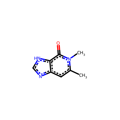 Cc1cc2nc[nH]c2c(=O)n1C